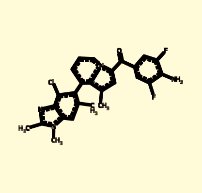 Cc1cc2c(nc(C)n2C)c(Cl)c1-c1cccn2c(C(=O)c3cc(F)c(N)c(F)c3)cc(C)c12